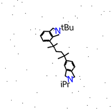 CC(C)N1Cc2ccc(C(C)(C)CCC(C)(C)c3cccc4c3CN(C(C)(C)C)C4)cc2C1